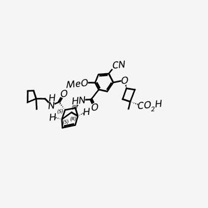 COc1cc(C#N)c(O[C@H]2C[C@@](C)(C(=O)O)C2)cc1C(=O)N[C@H]1[C@@H](C(=O)NCC2(C)CCC2)[C@@H]2C=C[C@H]1C2